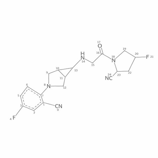 N#Cc1cc(F)ccc1N1CC2C(C1)C2NCC(=O)N1CC(F)CC1C#N